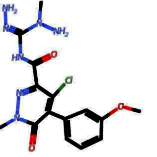 COc1cccc(-c2c(Cl)c(C(=O)N/C(=N/N)N(C)N)nn(C)c2=O)c1